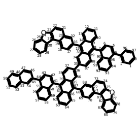 c1ccc(-c2ccc(-c3c4ccccc4c(-c4ccc5c(ccc6oc7ccccc7c65)c4)c4cc(-c5ccc6c(-c7ccc(-c8ccc9ccccc9c8)c8ccccc78)c7ccccc7c(-c7ccc8c(ccc9oc%10ccccc%10c98)c7)c6c5)ccc34)c3ccccc23)cc1